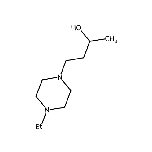 CCN1CCN(CCC(C)O)CC1